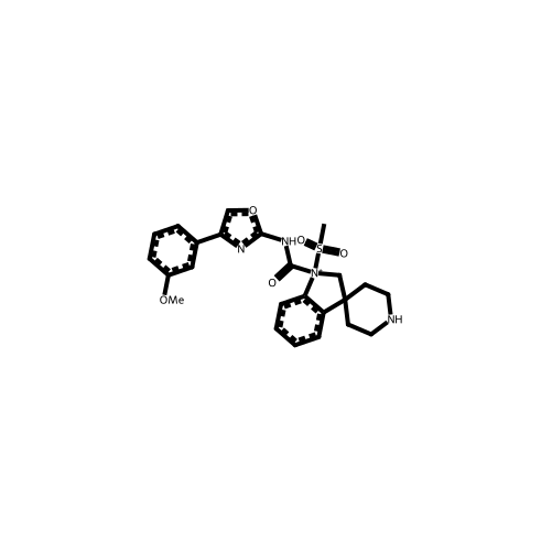 COc1cccc(-c2coc(NC(=O)[N+]3(S(C)(=O)=O)CC4(CCNCC4)c4ccccc43)n2)c1